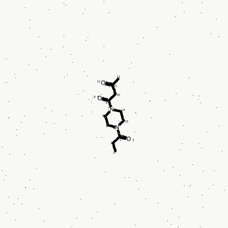 CCC(=O)N1CCN(C(=O)CC(C)=O)CC1